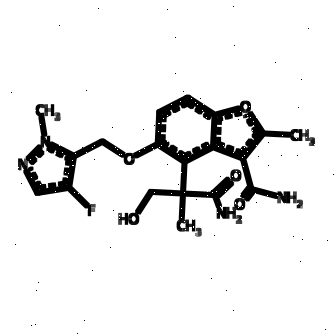 Cc1oc2ccc(OCc3c(F)cnn3C)c(C(C)(CO)C(N)=O)c2c1C(N)=O